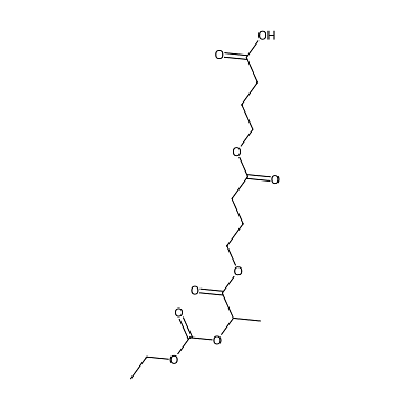 CCOC(=O)OC(C)C(=O)OCCCC(=O)OCCCC(=O)O